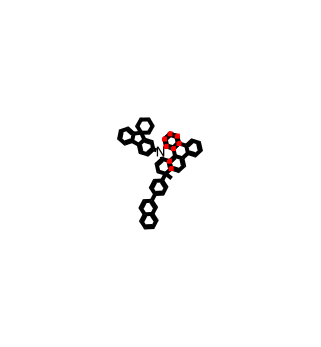 CC1(c2ccc(-c3ccc4ccccc4c3)cc2)C=CC(N(c2ccc3c(c2)C2(CCCCC2)c2ccccc2-3)c2ccccc2-c2ccccc2-c2ccccc2-c2ccccc2)=CC1